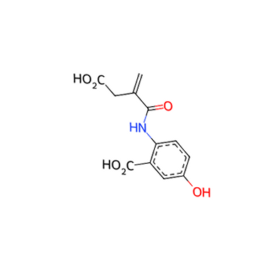 C=C(CC(=O)O)C(=O)Nc1ccc(O)cc1C(=O)O